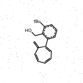 C=C1C=CC=CC=C1c1cccc(C(C)(C)C)c1CO